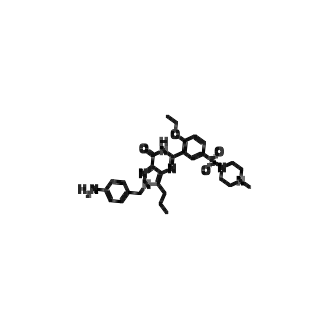 CCCc1c2nc(-c3cc(S(=O)(=O)N4CCN(C)CC4)ccc3OCC)[nH]c(=O)c2nn1Cc1ccc(N)cc1